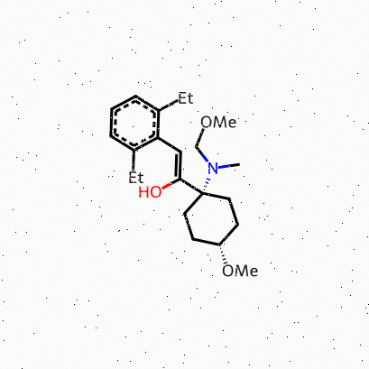 CCc1cccc(CC)c1/C=C(\O)[C@]1(N(C)COC)CC[C@@H](OC)CC1